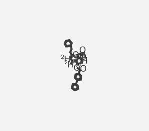 [2H]C(C([2H])[C@@H](O)CCc1ccccc1)[C@@H]1[C@H]2CC(=O)O[C@H]2C[C@H]1OC(=O)c1ccc(-c2ccccc2)cc1